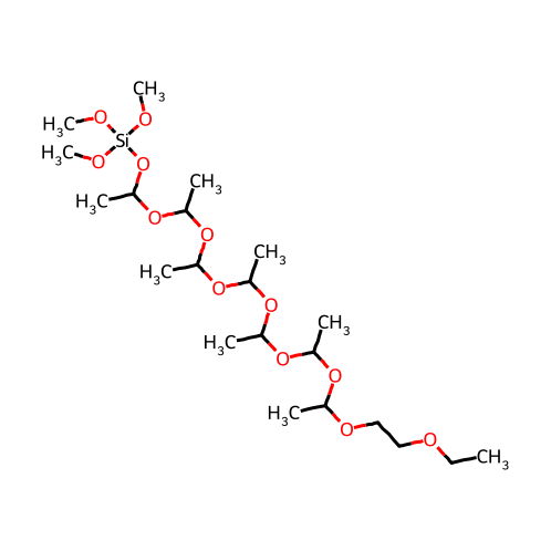 CCOCCOC(C)OC(C)OC(C)OC(C)OC(C)OC(C)OC(C)O[Si](OC)(OC)OC